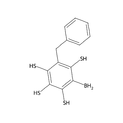 Bc1c(S)c(S)c(S)c(Cc2ccccc2)c1S